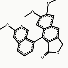 COc1cc2cccc(-c3c4c(cc5cc(OC)c(OC)cc35)COC4=O)c2cn1